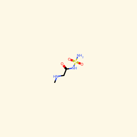 CNCC(=O)NS(N)(=O)=O